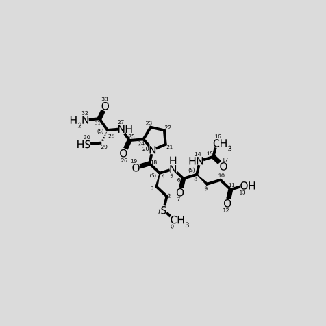 CSCC[C@H](NC(=O)[C@H](CCC(=O)O)NC(C)=O)C(=O)N1CCCC1C(=O)N[C@H](CS)C(N)=O